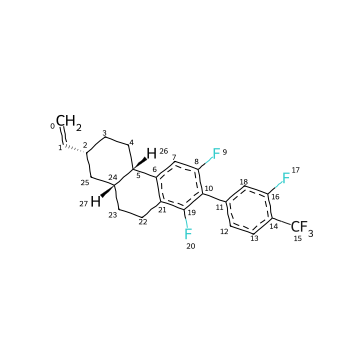 C=C[C@@H]1CC[C@@H]2c3cc(F)c(-c4ccc(C(F)(F)F)c(F)c4)c(F)c3CC[C@@H]2C1